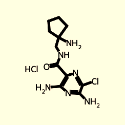 Cl.Nc1nc(N)c(C(=O)NCC2(N)CCCC2)nc1Cl